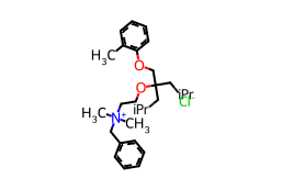 Cc1ccccc1OCC(CC(C)C)(CC(C)C)OCC[N+](C)(C)Cc1ccccc1.[Cl-]